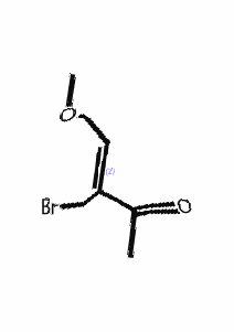 CO/C=C(\Br)C(C)=O